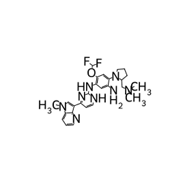 CN(C)CC1CCCN1c1cc(OC(F)F)c(NC2N=C(c3cn(C)c4cccnc34)C=CN2)cc1N